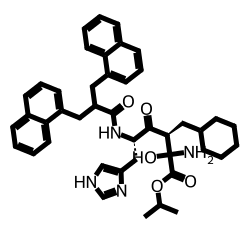 CC(C)OC(=O)C(N)(O)[C@H](CC1CCCCC1)C(=O)[C@H](Cc1c[nH]cn1)NC(=O)C(Cc1cccc2ccccc12)Cc1cccc2ccccc12